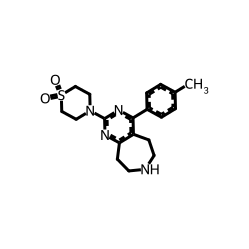 Cc1ccc(-c2nc(N3CCS(=O)(=O)CC3)nc3c2CCNCC3)cc1